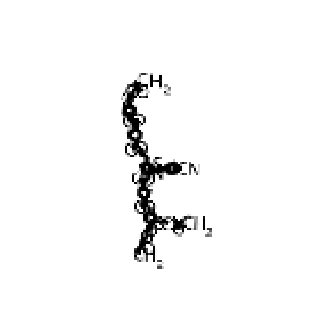 C=CC(=O)COCOc1ccc(OC(=O)C2CCC(C(=O)Oc3ccc(CCOC(=O)C4CCC(C(=O)Oc5ccc(OCOC(=O)C=C)cc5)CC4)c4sc(-c5ccc(C#N)cc5)nc34)CC2)cc1OCOCC(=O)C=C